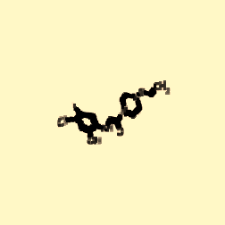 C=CSN1CCN(C(=O)CNc2cc(I)c(Cl)cc2O)CC1